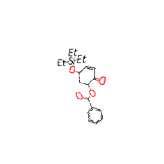 CC[Si](CC)(CC)OC1C=CC(=O)C(OC(=O)c2ccccc2)C1